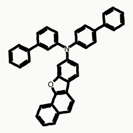 c1ccc(-c2ccc(N(c3cccc(-c4ccccc4)c3)c3ccc4c(c3)oc3c5ccccc5ccc43)cc2)cc1